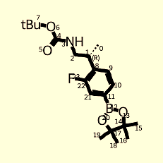 C[C@@H](CNC(=O)OC(C)(C)C)c1ccc(B2OC(C)(C)C(C)(C)O2)cc1F